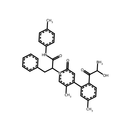 BC(O)C(=O)c1ccc(C)cc1-c1cc(=O)n(C(Cc2ccccc2)C(=O)Nc2ccc(C)cc2)cc1C